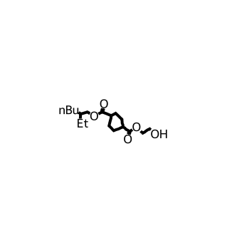 CCCCC(CC)COC(=O)C1CCC(C(=O)OCCO)CC1